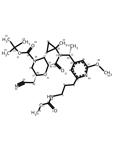 COC(=O)NCCCc1cc([C@@H](C)N(C(=O)[C@H]2CN(C(=O)OC(C)(C)C)C[C@@H](CC#N)O2)C2(C)CC2)cc(OC)n1